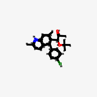 CC(=O)[C@@H](OC(C)(C)C)c1c(C)cc2nc(C)ccc2c1-c1ccc(Cl)cc1